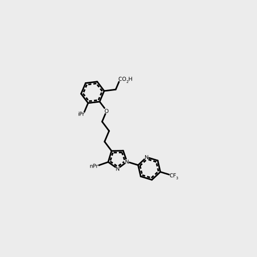 CCCc1nn(-c2ccc(C(F)(F)F)cn2)cc1CCCOc1c(CC(=O)O)cccc1C(C)C